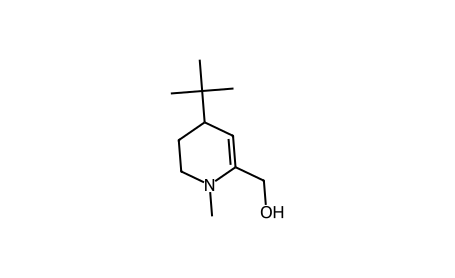 CN1CCC(C(C)(C)C)C=C1CO